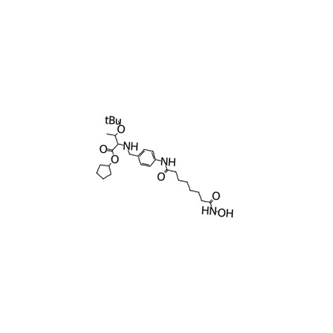 CC(OC(C)(C)C)C(NCc1ccc(NC(=O)CCCCCCC(=O)NO)cc1)C(=O)OC1CCCC1